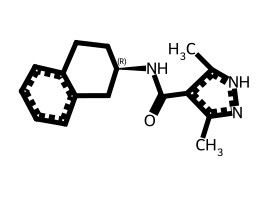 Cc1n[nH]c(C)c1C(=O)N[C@@H]1CCc2ccccc2C1